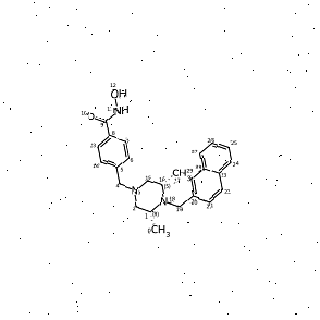 C[C@@H]1CN(Cc2ccc(C(=O)NO)cc2)C[C@H](C)N1Cc1ccc2ccccc2c1